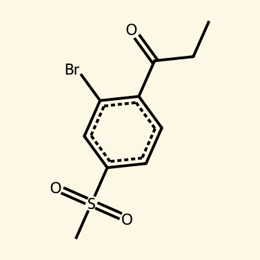 CCC(=O)c1ccc(S(C)(=O)=O)cc1Br